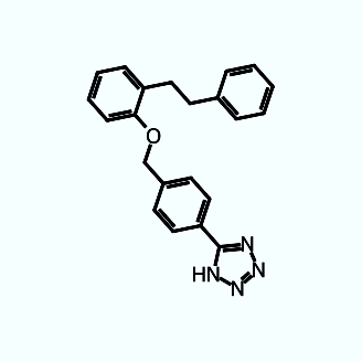 c1ccc(CCc2ccccc2OCc2ccc(-c3nnn[nH]3)cc2)cc1